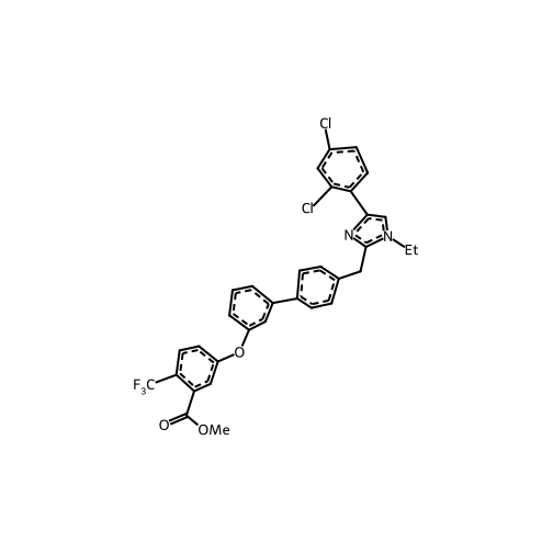 CCn1cc(-c2ccc(Cl)cc2Cl)nc1Cc1ccc(-c2cccc(Oc3ccc(C(F)(F)F)c(C(=O)OC)c3)c2)cc1